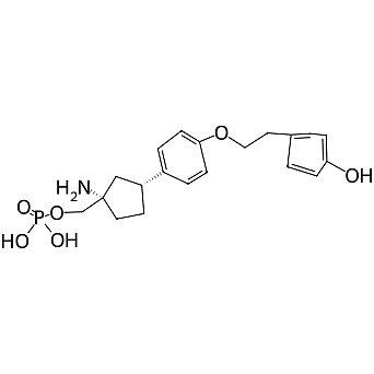 N[C@@]1(COP(=O)(O)O)CC[C@@H](c2ccc(OCCc3ccc(O)cc3)cc2)C1